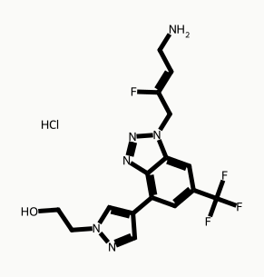 Cl.NC/C=C(\F)Cn1nnc2c(-c3cnn(CCO)c3)cc(C(F)(F)F)cc21